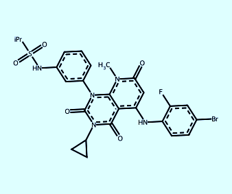 CC(C)S(=O)(=O)Nc1cccc(-n2c(=O)n(C3CC3)c(=O)c3c(Nc4ccc(Br)cc4F)cc(=O)n(C)c32)c1